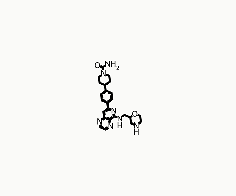 NC(=O)N1CCC(c2ccc(-c3cc4nccnc4c(NCC4CNCCO4)n3)cc2)CC1